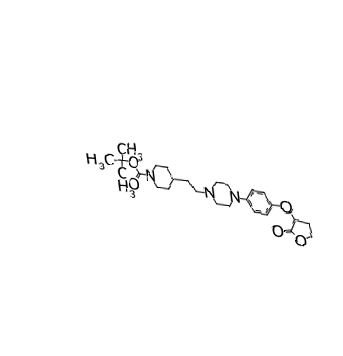 CC(C)(C)OC(=O)N1CCC(CCN2CCN(c3ccc(OC4CCOC4=O)cc3)CC2)CC1